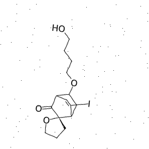 O=C1C2C=C(I)C(CC2OCCCCO)[C@@]12CCCO2